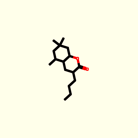 CCCCC1CC2C(C)CC(C)(C)CC2OC1=O